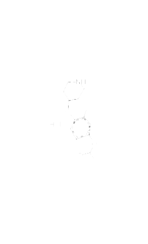 Cl.Fc1cc(OC(F)F)ccc1OC1CCNCC1